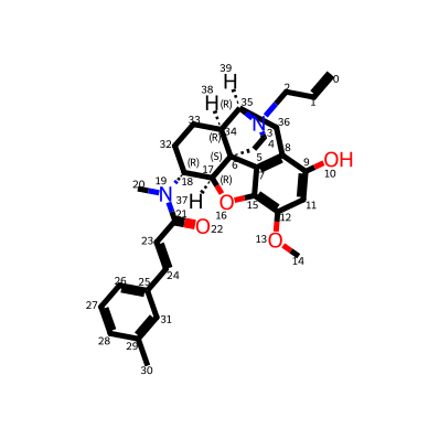 C=CCN1CC[C@]23c4c5c(O)cc(OC)c4O[C@H]2[C@H](N(C)C(=O)C=Cc2cccc(C)c2)CC[C@H]3[C@H]1C5